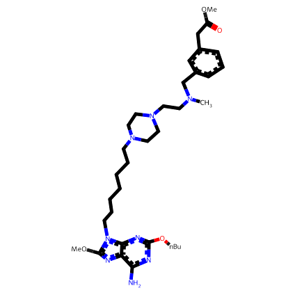 CCCCOc1nc(N)c2nc(OC)n(CCCCCCCN3CCN(CCN(C)Cc4cccc(CC(=O)OC)c4)CC3)c2n1